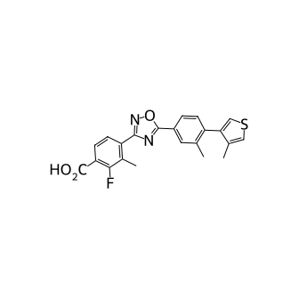 Cc1cc(-c2nc(-c3ccc(C(=O)O)c(F)c3C)no2)ccc1-c1cscc1C